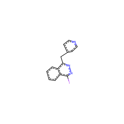 Ic1nnc(Cc2ccncc2)c2ccccc12